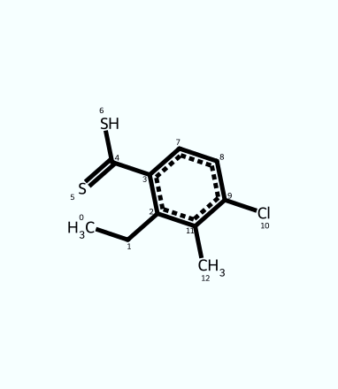 CCc1c(C(=S)S)ccc(Cl)c1C